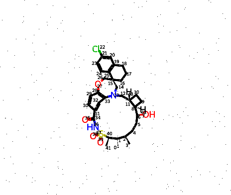 C[C@H]1[C@H](C)CC[C@H](O)[C@@H]2CC[C@H]2CN2C[C@@]3(CCCc4cc(Cl)ccc43)COc3ccc(cc32)C(=O)NS(=O)(=O)[C@@H]1C